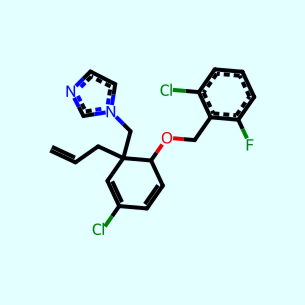 C=CCC1(Cn2ccnc2)C=C(Cl)C=CC1OCc1c(F)cccc1Cl